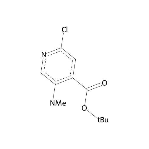 CNc1cnc(Cl)cc1C(=O)OC(C)(C)C